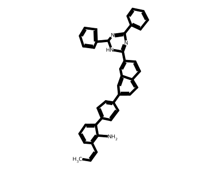 C/C=C\c1cccc(-c2ccc(-c3ccc4ccc(C5=NC(c6ccccc6)=NC(c6ccccc6)N5)cc4c3)cc2)c1N